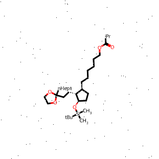 CCCCCCCC1(CC[C@@H]2[C@@H](CCCCCCOC(=O)C(C)C)CC[C@H]2O[Si](C)(C)C(C)(C)C)OCCO1